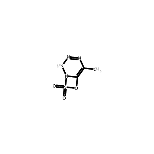 CC1=C2OS(=O)(=O)N2NN=N1